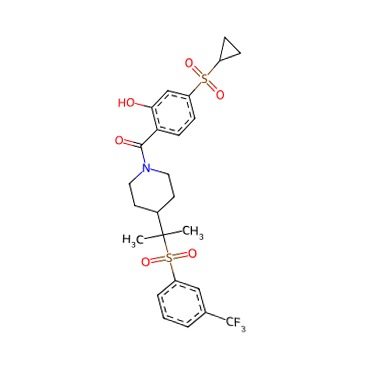 CC(C)(C1CCN(C(=O)c2ccc(S(=O)(=O)C3CC3)cc2O)CC1)S(=O)(=O)c1cccc(C(F)(F)F)c1